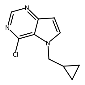 Clc1ncnc2ccn(CC3CC3)c12